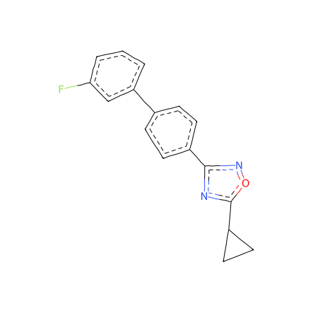 Fc1cccc(-c2ccc(-c3noc(C4CC4)n3)cc2)c1